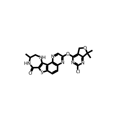 CC1CNc2c(sc3ccc4nc(Oc5nc(Cl)nc6c5COC6(C)C)cnc4c23)C(=O)N1